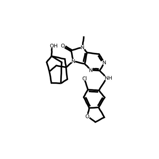 Cn1c(=O)n(C23CC4CC(CC(O)(C4)C2)C3)c2nc(Nc3cc4c(cc3Cl)OCC4)ncc21